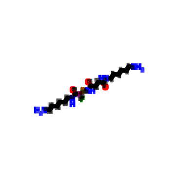 NCCCCCCNC(=O)CCC(=O)NSP(F)C(=O)NCCCCCCN